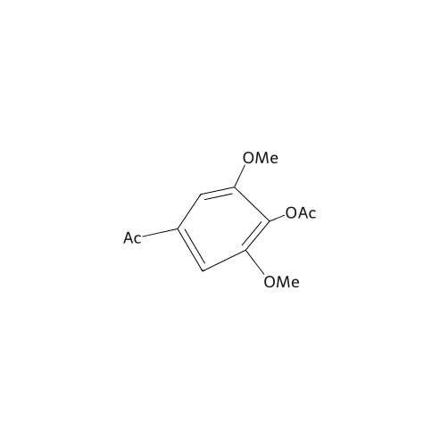 COc1cc(C(C)=O)cc(OC)c1OC(C)=O